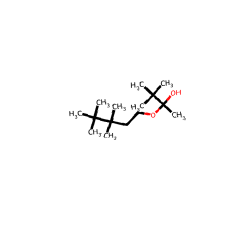 CC(C)(C)C(C)(C)CCOC(C)(O)C(C)(C)C